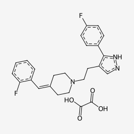 Fc1ccc(-c2[nH]ncc2CCN2CCC(=Cc3ccccc3F)CC2)cc1.O=C(O)C(=O)O